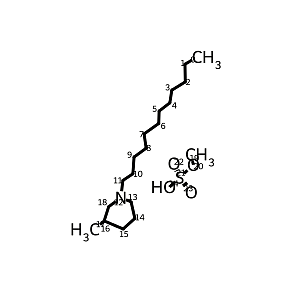 CCCCCCCCCCCCN1CCCC(C)C1.COS(=O)(=O)O